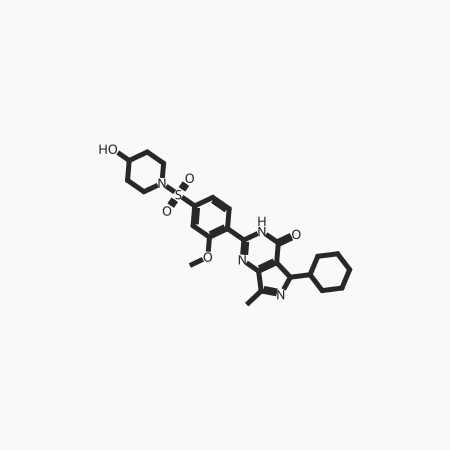 COc1cc(S(=O)(=O)N2CCC(O)CC2)ccc1-c1nc2c(c(=O)[nH]1)C(C1CCCCC1)N=C2C